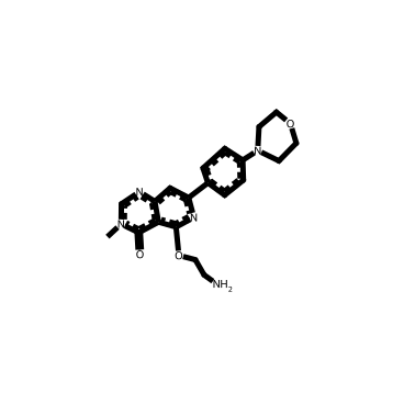 Cn1cnc2cc(-c3ccc(N4CCOCC4)cc3)nc(OCCN)c2c1=O